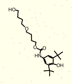 CC(C)(C)c1cc(NC(=O)OCCCCOCCCCO)cc(C(C)(C)C)c1O